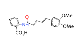 COc1ccc(/C=C/C=C/C(=O)Nc2ccccc2C(=O)O)cc1OC